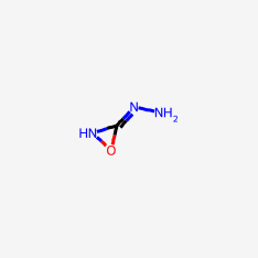 NN=C1NO1